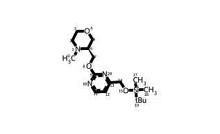 CN1CCOC[C@H]1COc1nccc(CO[Si](C)(C)C(C)(C)C)n1